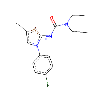 CCN(CC)C(=O)/N=c1\sc(C)cn1-c1ccc(F)cc1